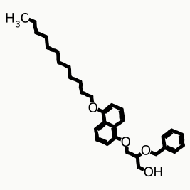 CCCCCCCCCCCCOc1cccc2c(OCC(CO)OCc3ccccc3)cccc12